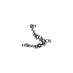 N#CC(=Cc1ccc(-c2ccc(OCCCCCCO)cc2)s1)c1ccc(-c2ccc(OCCCCCCO)cc2)s1